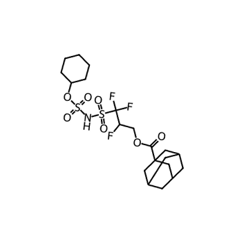 O=C(OCC(F)C(F)(F)S(=O)(=O)NS(=O)(=O)OC1CCCCC1)C12CC3CC(CC(C3)C1)C2